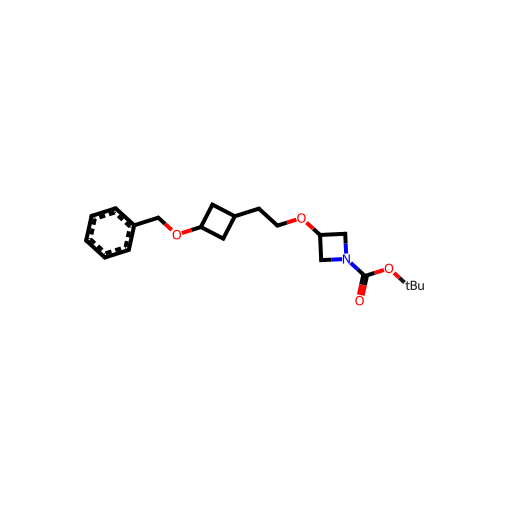 CC(C)(C)OC(=O)N1CC(OCCC2CC(OCc3ccccc3)C2)C1